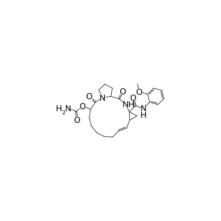 COc1ccccc1NC(=O)C12CC1/C=C/CCCCCC(OC(N)=O)C(=O)N1CCCC1C(=O)N2